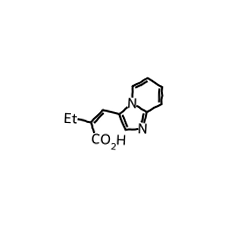 CCC(=Cc1cnc2ccccn12)C(=O)O